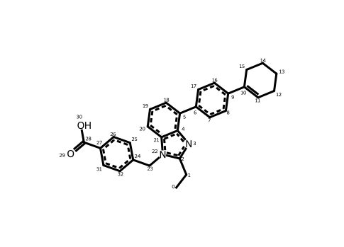 CCc1nc2c(-c3ccc(C4=CCCCC4)cc3)cccc2n1Cc1ccc(C(=O)O)cc1